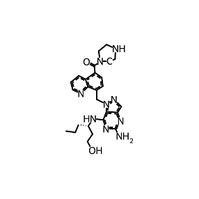 CCC[C@@H](CCO)Nc1nc(N)nc2cnn(Cc3ccc(C(=O)N4CCNCC4)c4cccnc34)c12